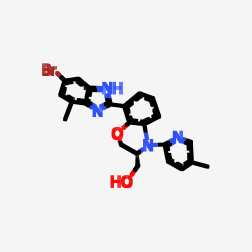 Cc1ccc(N2c3cccc(-c4nc5c(C)cc(Br)cc5[nH]4)c3OC[C@@H]2CO)nc1